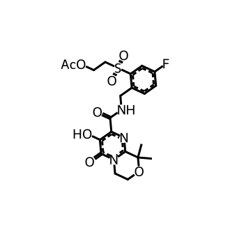 CC(=O)OCCS(=O)(=O)c1cc(F)ccc1CNC(=O)c1nc2n(c(=O)c1O)CCOC2(C)C